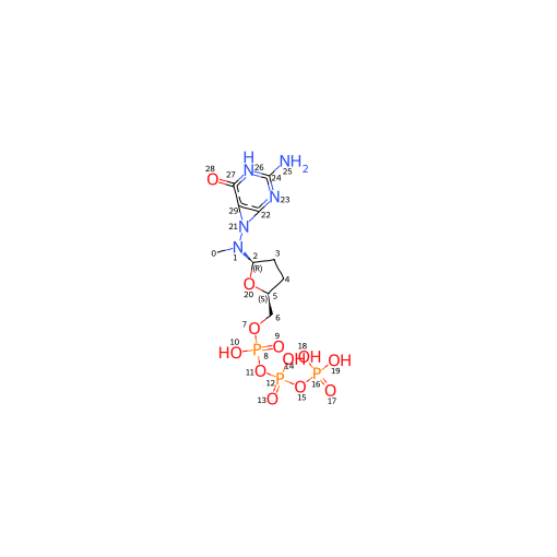 CN([C@H]1CC[C@@H](COP(=O)(O)OP(=O)(O)OP(=O)(O)O)O1)N1c2nc(N)[nH]c(=O)c21